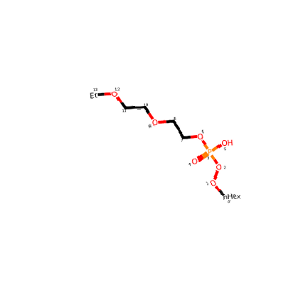 CCCCCCOOP(=O)(O)OCCOCCOCC